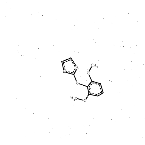 COc1cccc(OC)c1Oc1nc[c]s1